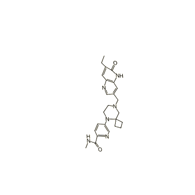 CCc1cc2ncc(CN3CCN(c4ccc(C(=O)NC)nc4)C4(CCC4)C3)cc2[nH]c1=O